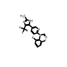 Cc1nc(C(F)(F)F)c(-c2ccc(N(C=O)c3c(F)cccc3F)nc2)[nH]1